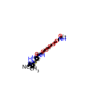 CCC(=O)NCCOCCOCCOCCOCCOCCNC(=O)c1ccc(SNc2ccc(C)c3c(C#N)c[nH]c23)cc1